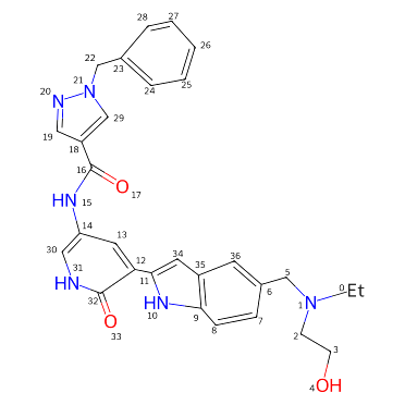 CCN(CCO)Cc1ccc2[nH]c(-c3cc(NC(=O)c4cnn(Cc5ccccc5)c4)c[nH]c3=O)cc2c1